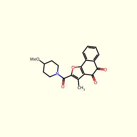 COC1CCN(C(=O)c2oc3c(c2C)C(=O)C(=O)c2ccccc2-3)CC1